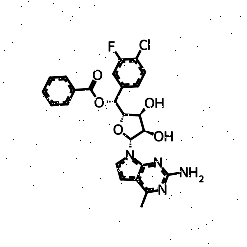 Cc1nc(N)nc2c1ccn2[C@@H]1O[C@H]([C@H](OC(=O)c2ccccc2)c2ccc(Cl)c(F)c2)[C@@H](O)[C@H]1O